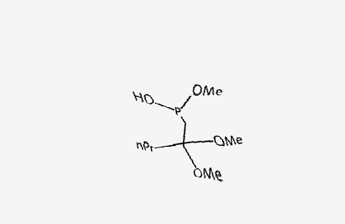 CCCC(OC)(OC)P(O)OC